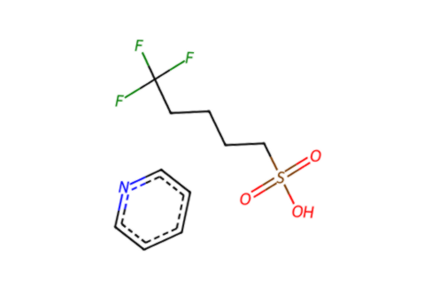 O=S(=O)(O)CCCCC(F)(F)F.c1ccncc1